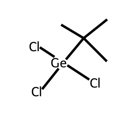 C[C](C)(C)[Ge]([Cl])([Cl])[Cl]